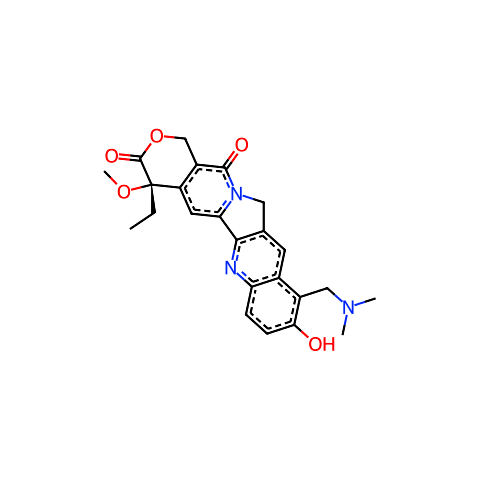 CC[C@@]1(OC)C(=O)OCc2c1cc1n(c2=O)Cc2cc3c(CN(C)C)c(O)ccc3nc2-1